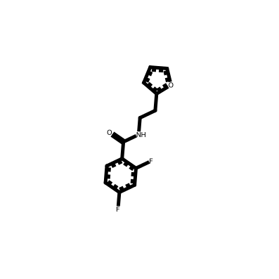 O=C(NCCc1ccco1)c1ccc(F)cc1F